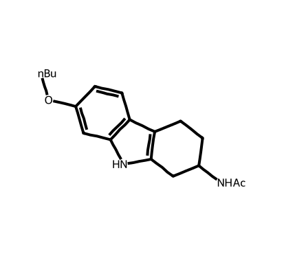 CCCCOc1ccc2c3c([nH]c2c1)CC(NC(C)=O)CC3